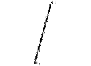 NCCOCCOCCOCCOCCOCCOCCOCCOCCOCCOCCOCCOCCOCCOCCOCCOCCOCCOCCOCCN